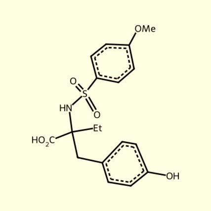 CCC(Cc1ccc(O)cc1)(NS(=O)(=O)c1ccc(OC)cc1)C(=O)O